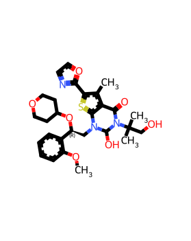 COc1ccccc1[C@H](CN1c2sc(-c3ncco3)c(C)c2C(=O)N(C(C)(C)CO)C1O)OC1CCOCC1